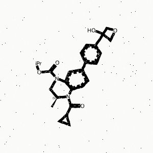 CC(C)OC(=O)N1C[C@H](C)N(C(=O)C2CC2)c2ccc(-c3ccc(C4(O)COC4)cc3)cc21